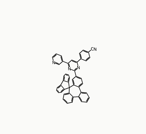 N#Cc1ccc(-c2cc(-c3cccnc3)nc(-c3ccc4c(c3)C3(c5ccccc5-c5ccccc5-4)c4ccccc4-c4ccccc43)n2)cc1